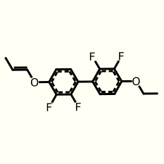 C/C=C/Oc1ccc(-c2ccc(OCC)c(F)c2F)c(F)c1F